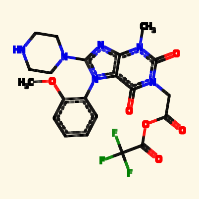 COc1ccccc1-n1c(N2CCNCC2)nc2c1c(=O)n(CC(=O)OC(=O)C(F)(F)F)c(=O)n2C